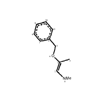 CN/C=C(\C)OCc1ccccc1